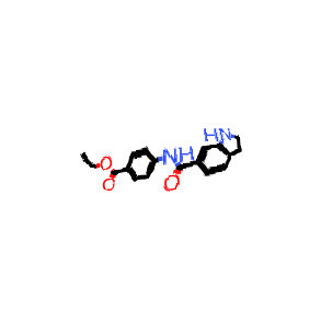 CCOC(=O)c1ccc(NC(=O)c2ccc3c(c2)NCC3)cc1